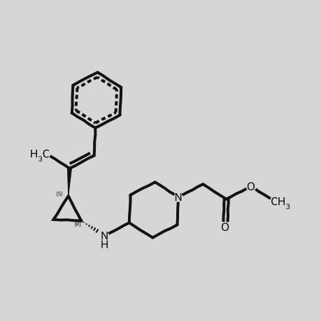 COC(=O)CN1CCC(N[C@@H]2C[C@H]2C(C)=Cc2ccccc2)CC1